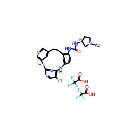 CC(=O)N1CC[C@H](NC(=O)Nc2ccc3cc2CCc2cncc(c2)Nc2ncc(Cl)c(n2)N3)C1.O=C(O)C(F)(F)F.O=C(O)C(F)(F)F